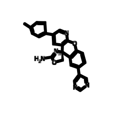 Cc1ccc(-c2cnc3c(c2)[C@]2(COC(N)=N2)c2cc(-c4cncnc4)ccc2O3)cc1